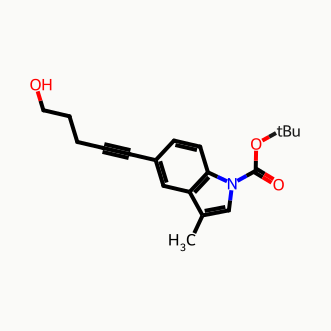 Cc1cn(C(=O)OC(C)(C)C)c2ccc(C#CCCCO)cc12